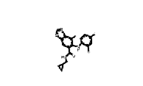 O=C(NCC1CC1)c1cc2scnc2c(F)c1Nc1ccc(I)cc1F